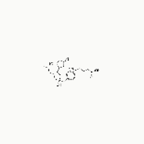 CCCCCC(O)(CS[C@H]1C(O)CC(=O)[C@@H]1CC=CCCCC(=O)O)Cc1ccccc1